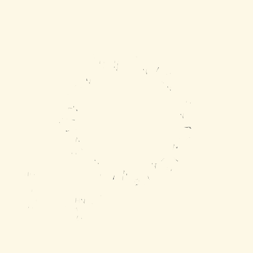 CC[C@@H]1NC(=O)[C@H](C[C@H](C)CCCCCCNC(=O)c2ccc(C(=O)OC)cc2)N(C)C(=O)[C@H](C(C)C)N(C)C(=O)[C@H](CC(C)C)N(C)C(=O)[C@@H](C=C(C)C)N(C)C(=O)[C@H](C)NC(=O)[C@@H](C)NC(=O)[C@@H](CC(C)C)N(C)C(=O)[C@@H](C(C)C)NC(=O)[C@H](CC(C)C)N(C)C(=O)[C@@H](CSCCCCO)N(C)C1=O